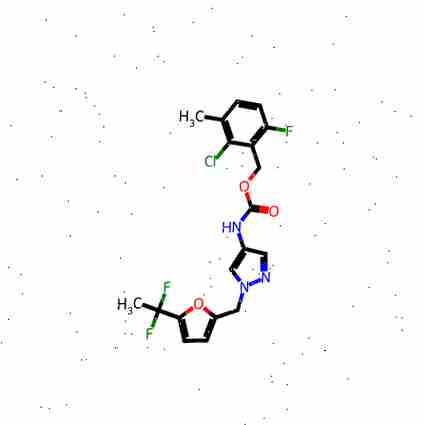 Cc1ccc(F)c(COC(=O)Nc2cnn(Cc3ccc(C(C)(F)F)o3)c2)c1Cl